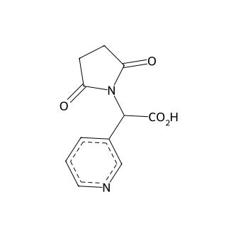 O=C(O)C(c1cccnc1)N1C(=O)CCC1=O